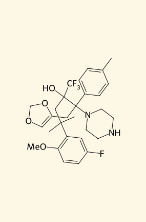 COc1ccc(F)cc1C(C)(C)CC(O)(C(F)(F)F)C(CC1=COCO1)(c1ccc(C)cc1)N1CCNCC1